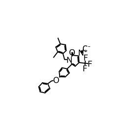 [C-]#[N+]c1c(C(F)(F)F)cc(-c2ccc(OCc3ccccc3)cc2)n(Cc2ccc(C)cc2C)c1=O